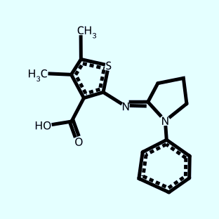 Cc1sc(N=C2CCCN2c2ccccc2)c(C(=O)O)c1C